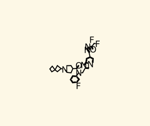 O=C(C1CCN(C2CC3(CCC3)C2)CC1)N(Cc1cn2ccc(-c3nnc(C(F)F)o3)cc2n1)c1cccc(F)c1